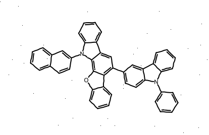 c1ccc(-n2c3ccccc3c3cc(-c4cc5c6ccccc6n(-c6ccc7ccccc7c6)c5c5oc6ccccc6c45)ccc32)cc1